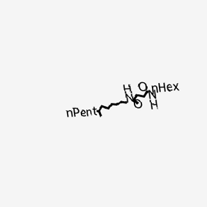 CCCCCCNC(=O)CCC(=O)NCCCCCCC(C)CCCCC